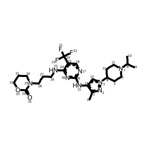 Cc1nn(C2CCN(C(C)C)CC2)cc1Nc1ncc(C(F)(F)F)c(NCCCN2CCCOC2=O)n1